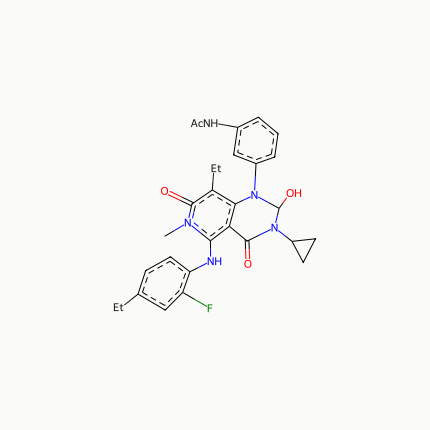 CCc1ccc(Nc2c3c(c(CC)c(=O)n2C)N(c2cccc(NC(C)=O)c2)C(O)N(C2CC2)C3=O)c(F)c1